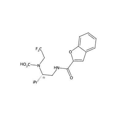 CC(C)[C@@H](CNC(=O)c1cc2ccccc2o1)N(CC(F)(F)F)C(=O)O